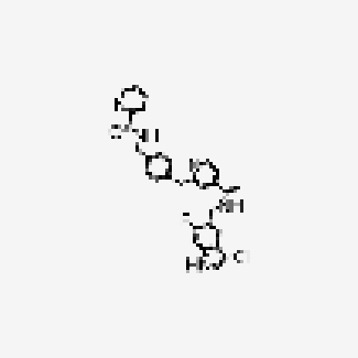 C=C(NCc1cc2c(Cl)c[nH]c2cc1F)c1ccnc(Cc2ccc(CNC(=O)c3ccccn3)cc2)c1